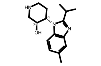 Cc1ccc2c(c1)nc(C(C)C)n2[C@H]1CCNC[C@@H]1O